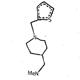 CNCC1CCN(Cc2cccs2)CC1